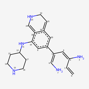 C=C/C(N)=C\C(=C/N)c1cc(NC2CCNCC2)c2c(c1)=CCNC=2